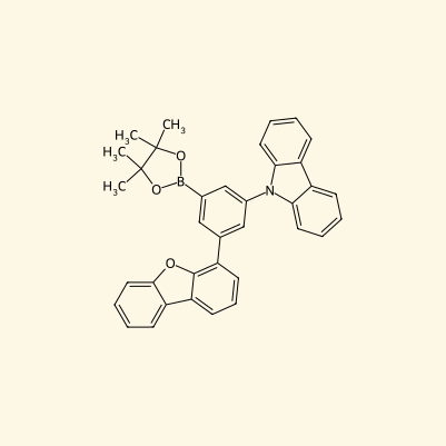 CC1(C)OB(c2cc(-c3cccc4c3oc3ccccc34)cc(-n3c4ccccc4c4ccccc43)c2)OC1(C)C